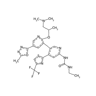 CCNC(=O)Nc1cc(-c2nc(C(F)(F)F)cs2)c(-c2cc(-c3nnc(C)o3)cnc2OC(C)CN(C)C)cn1